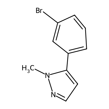 Cn1nccc1-c1cccc(Br)c1